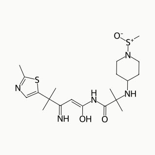 Cc1ncc(C(C)(C)C(=N)/C=C(\O)NC(=O)C(C)(C)NC2CCN([S+](C)[O-])CC2)s1